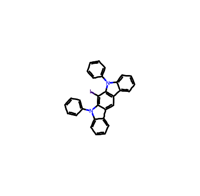 Ic1c2c(cc3c4ccccc4n(-c4ccccc4)c13)c1ccccc1n2-c1ccccc1